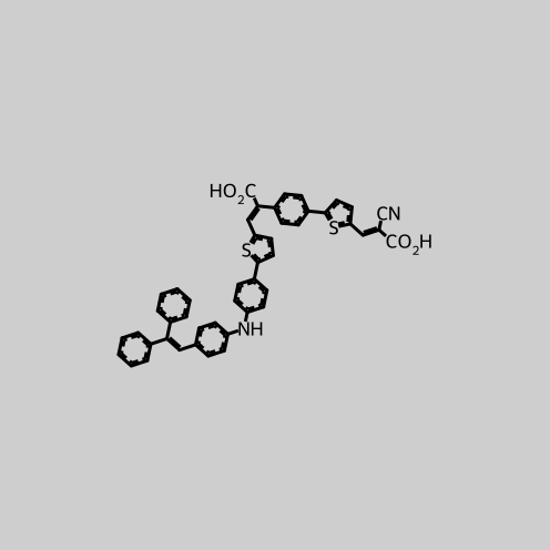 N#C/C(=C\c1ccc(-c2ccc(/C(=C\c3ccc(-c4ccc(Nc5ccc(C=C(c6ccccc6)c6ccccc6)cc5)cc4)s3)C(=O)O)cc2)s1)C(=O)O